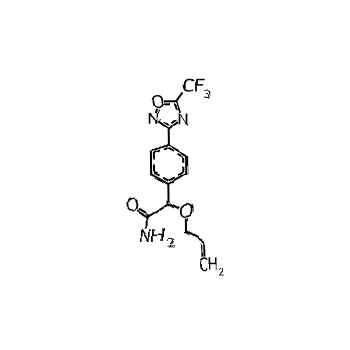 C=CCOC(C(N)=O)c1ccc(-c2noc(C(F)(F)F)n2)cc1